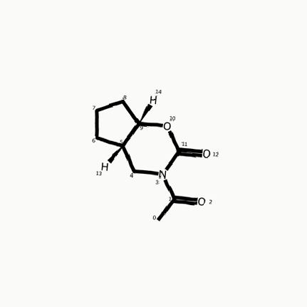 CC(=O)N1C[C@@H]2CCC[C@@H]2OC1=O